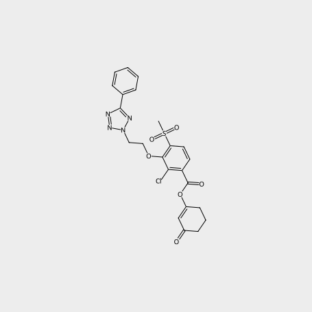 CS(=O)(=O)c1ccc(C(=O)OC2=CC(=O)CCC2)c(Cl)c1OCCn1nnc(-c2ccccc2)n1